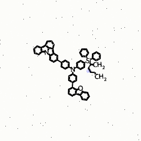 C=C/C=C\C(=C)[Si](c1ccccc1)(c1ccccc1)c1ccc(N(c2ccc(-c3ccc4c(c3)c3cccc5c6ccccc6n4c53)cc2)c2ccc(-c3cccc4c3oc3ccccc34)cc2)cc1